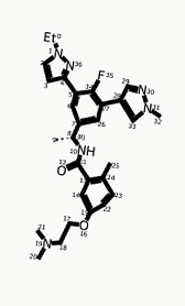 CCn1ccc(-c2cc([C@@H](C)NC(=O)c3cc(OCCN(C)C)ccc3C)cc(-c3cnn(C)c3)c2F)n1